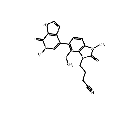 COc1c(-c2cn(C)c(=O)c3[nH]ccc23)ccc2c1n(CCCC#N)c(=O)n2C